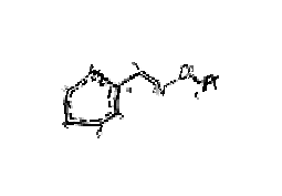 CC(C)ON=Cc1cc[c]cc1